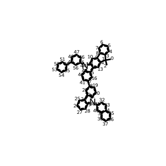 CC1(C)c2ccccc2-c2cc3c(cc21)c1cc(-c2ccc4c(c2)c2ccccc2n4-c2ccc4ccccc4c2)ccc1n3-c1cccc(-c2ccccc2)c1